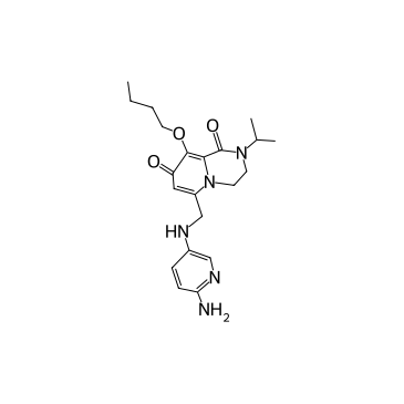 CCCCOc1c2n(c(CNc3ccc(N)nc3)cc1=O)CCN(C(C)C)C2=O